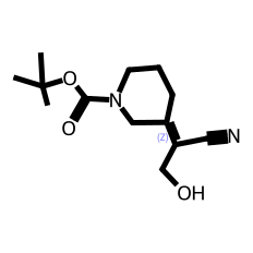 CC(C)(C)OC(=O)N1CCC/C(=C(\C#N)CO)C1